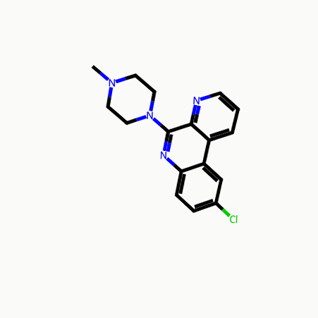 CN1CCN(c2nc3ccc(Cl)cc3c3cccnc23)CC1